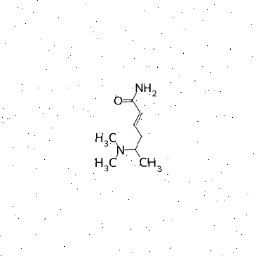 CC(CC=CC(N)=O)N(C)C